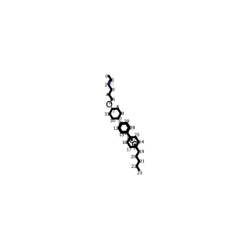 C/C=C/CCCO[C@H]1CC[C@H](c2ccc(C34CCC(CCCCC)(CC3)CC4)cc2)CC1